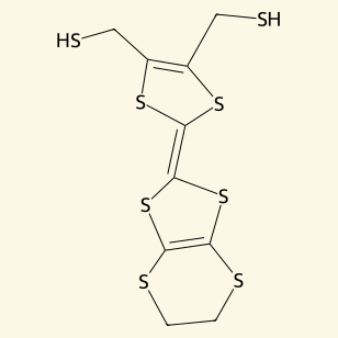 SCC1=C(CS)SC(=C2SC3=C(SCCS3)S2)S1